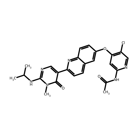 CC(=O)Nc1cc(Oc2ccc3nc(-c4cnc(NC(C)C)n(C)c4=O)ccc3c2)c(Cl)cn1